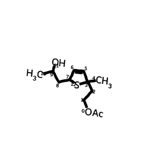 CC(=O)OCCC1(C)C=CC(CC(C)O)S1